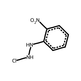 O=[N+]([O-])c1ccccc1NNCl